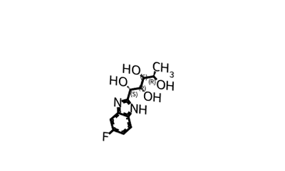 C[C@@H](O)[C@H](O)[C@H](O)[C@@H](O)c1nc2cc(F)ccc2[nH]1